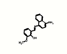 COc1cccc(/C=N/c2ccc(N)c3ccccc23)c1O